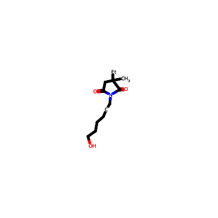 CCC1(C)CC(=O)N(CCCCCCO)C1=O